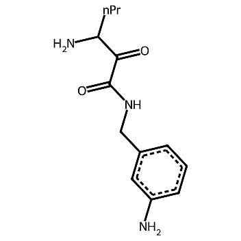 CCCC(N)C(=O)C(=O)NCc1cccc(N)c1